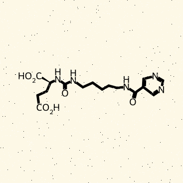 O=C(O)CC[C@H](NC(=O)NCCCCCNC(=O)c1cncnc1)C(=O)O